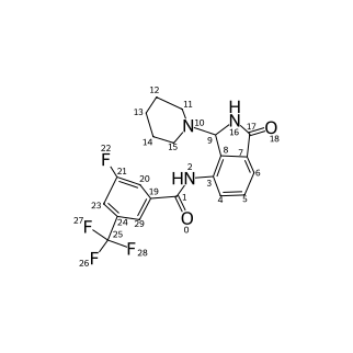 O=C(Nc1cccc2c1C(N1CCCCC1)NC2=O)c1cc(F)cc(C(F)(F)F)c1